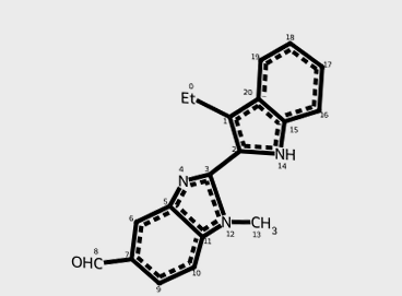 CCc1c(-c2nc3cc(C=O)ccc3n2C)[nH]c2ccccc12